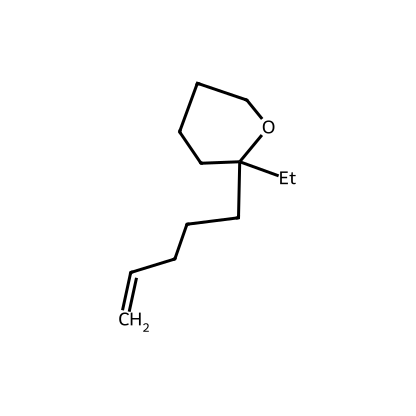 C=CCCCC1(CC)CCCCO1